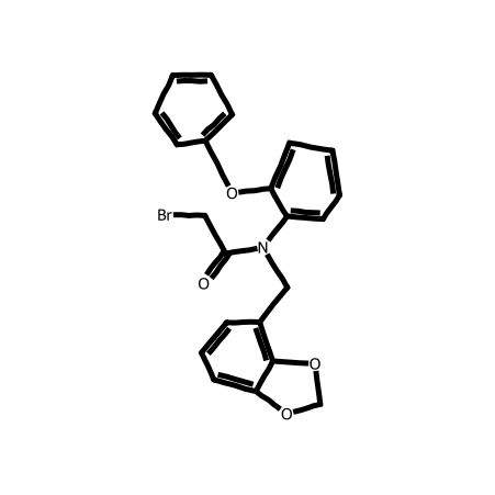 O=C(CBr)N(Cc1cccc2c1OCO2)c1ccccc1Oc1ccccc1